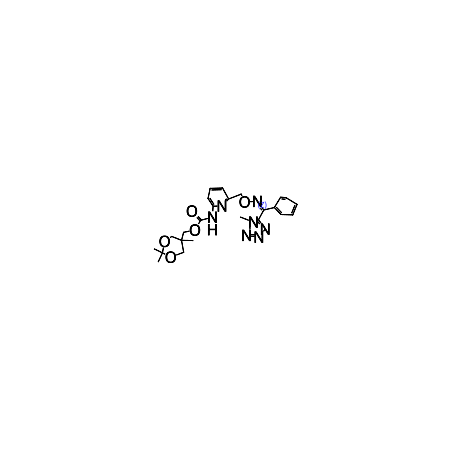 Cn1nnnc1/C(=N\OCc1cccc(NC(=O)OCC2(C)COC(C)(C)OC2)n1)c1ccccc1